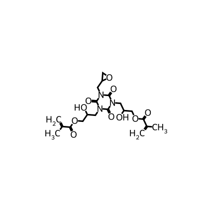 C=C(C)C(=O)OCC(O)Cn1c(=O)n(CC(O)COC(=O)C(=C)C)c(=O)n(CC2CO2)c1=O